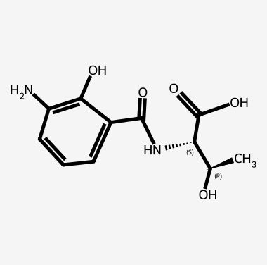 C[C@@H](O)[C@H](NC(=O)c1cccc(N)c1O)C(=O)O